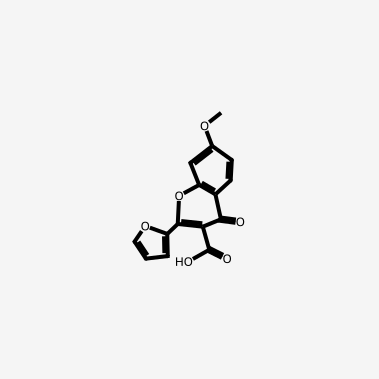 COc1ccc2c(=O)c(C(=O)O)c(-c3ccco3)oc2c1